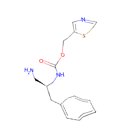 NC[C@H](Cc1ccccc1)NC(=O)OCc1cncs1